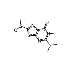 CN(C)c1nc2sc([S+](C)[O-])nc2c(=O)n1C